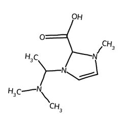 CC(N(C)C)N1C=CN(C)C1C(=O)O